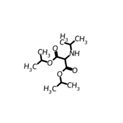 CC(C)NC(C(=O)OC(C)C)C(=O)OC(C)C